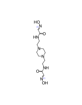 O=C(/C=N/O)NCCN1CCN(CCNC(=O)/C=N/O)CC1